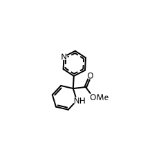 COC(=O)C1(c2cccnc2)C=CC=CN1